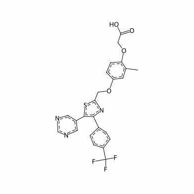 Cc1cc(OCc2nc(-c3ccc(C(F)(F)F)cc3)c(-c3cncnc3)s2)ccc1OCC(=O)O